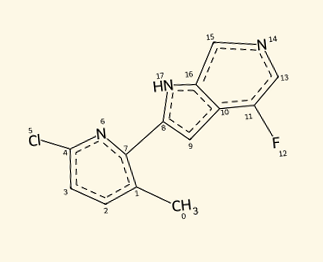 Cc1ccc(Cl)nc1-c1cc2c(F)cncc2[nH]1